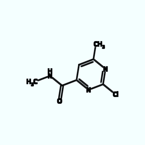 CNC(=O)c1cc(C)nc(Cl)n1